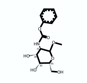 COC1O[C@H](CO)[C@H](O)[C@H](O)[C@@H]1NC(=O)Oc1ccccc1